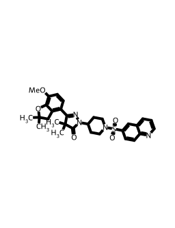 COc1ccc(C2=NN(C3CCN(S(=O)(=O)c4ccc5ncccc5c4)CC3)C(=O)C2(C)C)c2c1OC(C)(C)C2